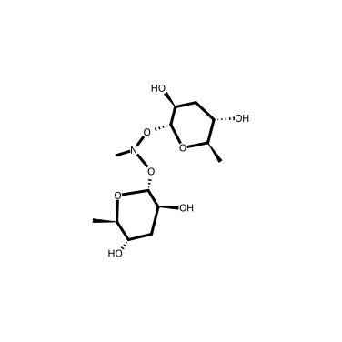 C[C@H]1O[C@H](ON(C)O[C@H]2O[C@H](C)[C@@H](O)C[C@@H]2O)[C@@H](O)C[C@@H]1O